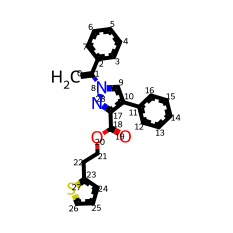 C=C(c1ccccc1)n1cc(-c2ccccc2)c(C(=O)OCCc2cccs2)n1